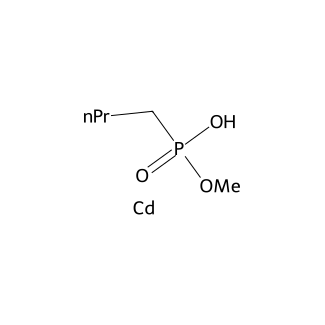 CCCCP(=O)(O)OC.[Cd]